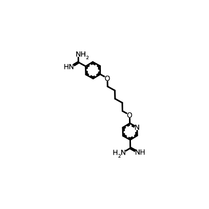 N=C(N)c1ccc(OCCCCCOc2ccc(C(=N)N)cn2)cc1